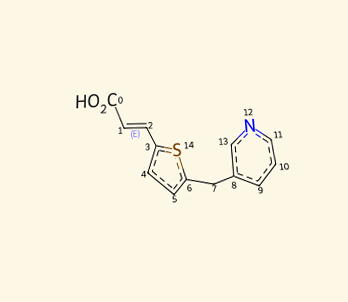 O=C(O)/C=C/c1ccc(Cc2cccnc2)s1